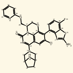 Nc1nc2c(-c3c(Cl)cc4c(N5CC6CCC(C5)N6)nc(=O)n5c4c3OC[C@@H]5COc3ccccn3)ccc(F)c2s1